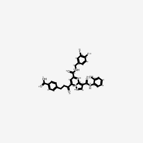 O=C(O)c1ccc(CCC(=O)c2cc(C(=O)NCc3ccc(F)c(F)c3)nc3c(C(=O)Nc4ccccc4Cl)cnn23)cc1